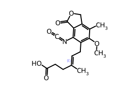 COc1c(C)c2c(c(N=C=O)c1C/C=C(\C)CCC(=O)O)C(=O)OC2